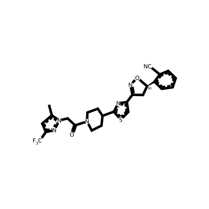 Cc1cc(C(F)(F)F)nn1CC(=O)N1CCC(c2nc(C3=NO[C@@H](c4ccccc4C#N)C3)cs2)CC1